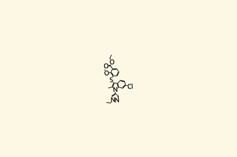 CCOC(=O)c1cccc(Sc2c(C)n(-c3cnn(CC)c3)c3cc(Cl)ccc23)c1OC